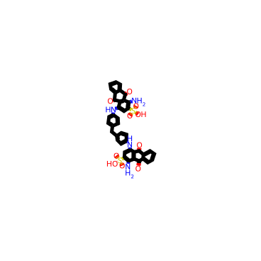 Nc1c(S(=O)(=O)O)cc(Nc2ccc(Cc3ccc(Nc4cc(S(=O)(=O)O)c(N)c5c4C(=O)c4ccccc4C5=O)cc3)cc2)c2c1C(=O)c1ccccc1C2=O